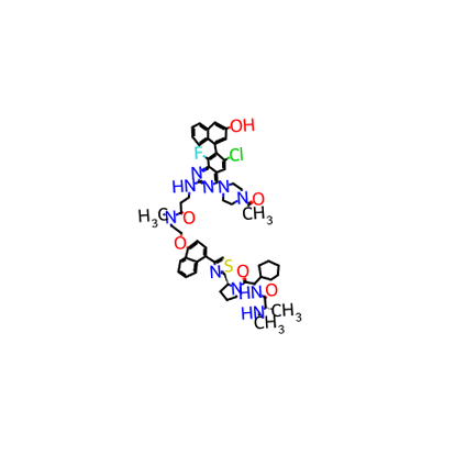 CN[C@@H](C)C(=O)NC(C(=O)N1CCC[C@H]1c1nc(-c2ccc(OCCN(C)C(=O)CCNc3nc(N4CCN(C(C)=O)CC4)c4cc(Cl)c(-c5cc(O)cc6ccccc56)c(F)c4n3)c3ccccc23)cs1)C1CCCCC1